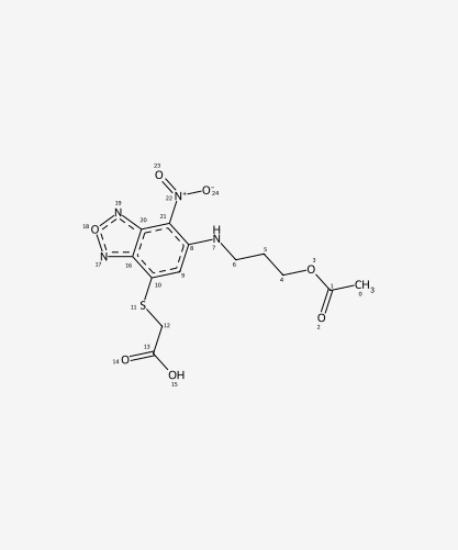 CC(=O)OCCCNc1cc(SCC(=O)O)c2nonc2c1[N+](=O)[O-]